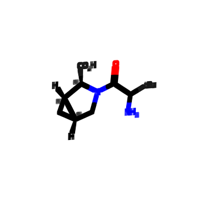 CC(C)(C)C(N)C(=O)N1C[C@@H]2C[C@@H]2[C@H]1C(=O)O